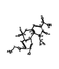 CCOc1cc2c(cc1Cl)-c1c(cc(C(=O)O)c(=O)n1C1CC1)CS2(=O)=O